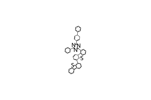 C1=CC2c3c(cccc3-c3nc(C4=CCC(c5ccccc5)C=C4)nc(-c4ccccc4)n3)SC2C(c2cccc3c2sc2ccccc23)=C1